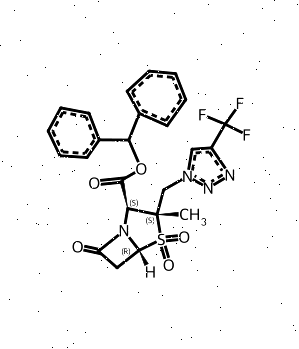 C[C@]1(Cn2cc(C(F)(F)F)nn2)[C@H](C(=O)OC(c2ccccc2)c2ccccc2)N2C(=O)C[C@H]2S1(=O)=O